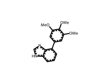 COc1cc(-c2cccc3[nH]cnc23)cc(OC)c1OC